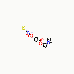 CCN(CC)c1cccc(OC(=O)c2ccc(COC(=O)NCCS)cc2)c1